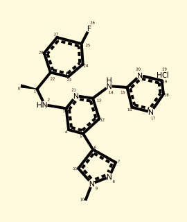 C[C@H](Nc1cc(-c2cnn(C)c2)cc(Nc2cnccn2)n1)c1ccc(F)cc1.Cl